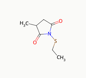 CCSN1C(=O)CC(C)C1=O